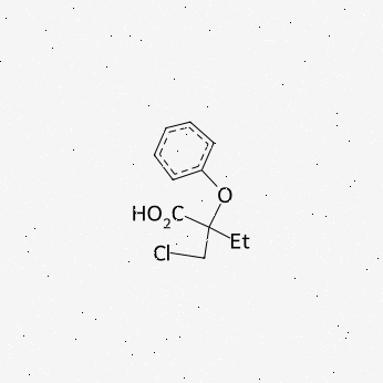 CCC(CCl)(Oc1ccccc1)C(=O)O